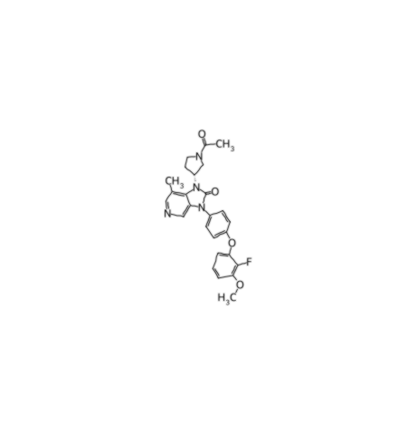 COc1cccc(Oc2ccc(-n3c(=O)n([C@@H]4CCN(C(C)=O)C4)c4c(C)cncc43)cc2)c1F